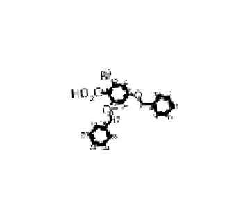 O=C(O)c1c(Br)cc(OCc2ccccc2)cc1OCc1ccccc1